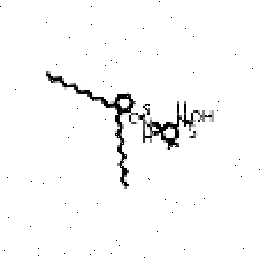 CCCCCCCCCCc1cccc(OC(=S)NCC2(C)CC(NC(O)=S)CC(C)(C)C2)c1CCCCCCCCCC